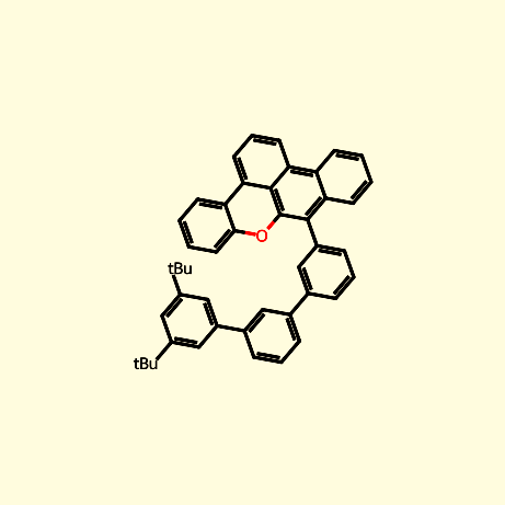 CC(C)(C)c1cc(-c2cccc(-c3cccc(-c4c5c6c(cccc6c6ccccc46)-c4ccccc4O5)c3)c2)cc(C(C)(C)C)c1